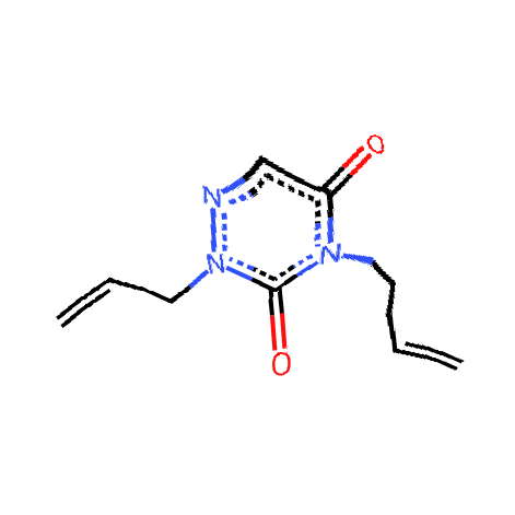 C=CCn1ncc(=O)n(CC=C)c1=O